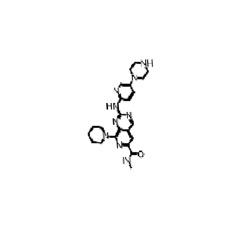 CNC(=O)c1cc2cnc(Nc3ccc(N4CCNCC4)cn3)nc2c(N2CCCCC2)n1